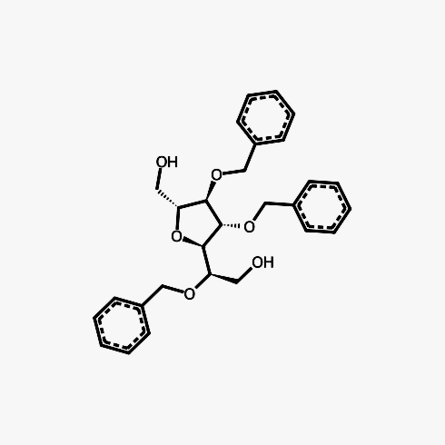 OC[C@@H](OCc1ccccc1)[C@H]1O[C@H](CO)[C@@H](OCc2ccccc2)[C@@H]1OCc1ccccc1